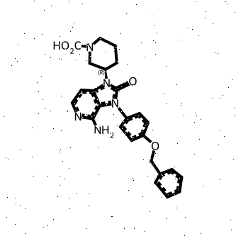 Nc1nccc2c1n(-c1ccc(OCc3ccccc3)cc1)c(=O)n2[C@@H]1CCCN(C(=O)O)C1